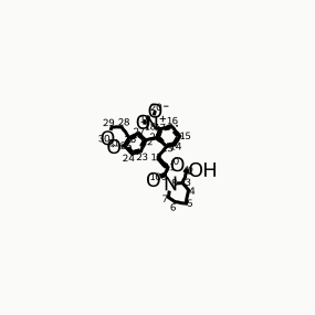 O=C(O)C1CCCCN1C(=O)/C=C/c1cc[c]c([N+](=O)[O-])c1-c1ccc2c(c1)CCOO2